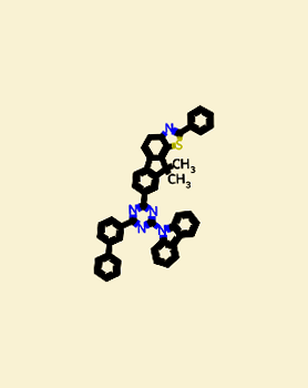 CC1(C)C2=C3SC(c4ccccc4)=NC3CC=C2c2ccc(-c3nc(-c4cccc(-c5ccccc5)c4)nc(-n4c5ccccc5c5ccccc54)n3)cc21